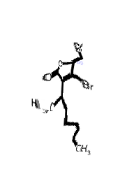 CCCCCC(C)C1=C(Br)/C(=C/Br)OC1=O